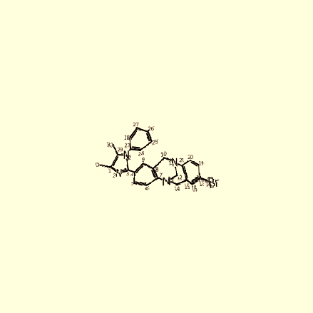 Cc1nc(-c2ccc3c(c2)CN2CN3Cc3cc(Br)ccc32)n(-c2ccccc2)c1C